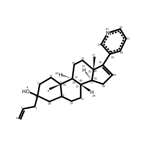 C=CCC1(O)CC[C@@]2(C)C(CC[C@@H]3[C@@H]2CC[C@]2(C)C(c4cccnc4)=CC[C@@H]32)C1